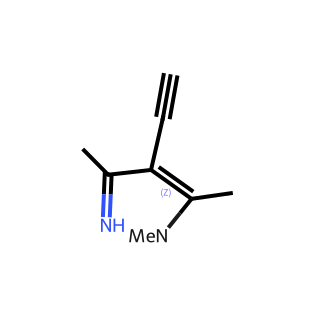 C#C/C(C(C)=N)=C(\C)NC